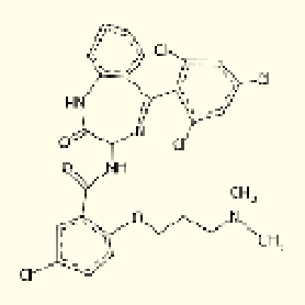 CN(C)CCCOc1ccc(Cl)cc1C(=O)NC1N=C(c2c(Cl)cc(Cl)cc2Cl)c2ccccc2NC1=O